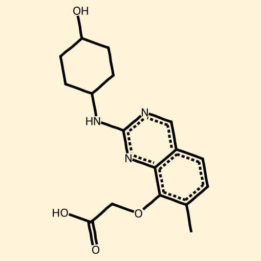 Cc1ccc2cnc(NC3CCC(O)CC3)nc2c1OCC(=O)O